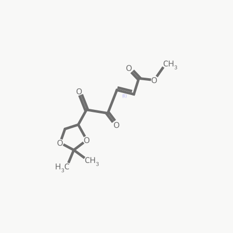 COC(=O)/C=C/C(=O)C(=O)C1COC(C)(C)O1